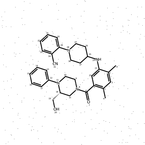 Cc1cc(C)c(C(=O)N2CCN(c3ccccc3)[C@@H](CO)C2)cc1NC1CCN(c2ccccc2C#N)CC1